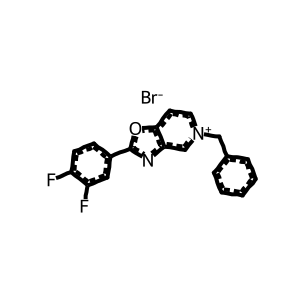 Fc1ccc(-c2nc3c[n+](Cc4ccccc4)ccc3o2)cc1F.[Br-]